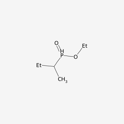 CCO[PH](=O)C(C)CC